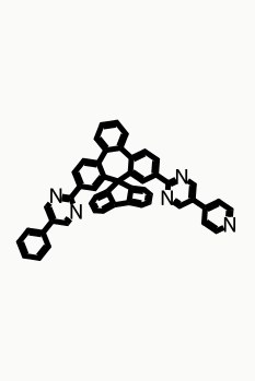 c1ccc(-c2cnc(-c3ccc4c(c3)C3(c5cc(-c6ncc(-c7ccncc7)cn6)ccc5-c5ccccc5-4)c4ccccc4-c4ccccc43)nc2)cc1